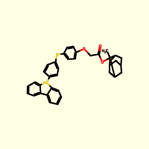 CC1(OC(=O)COc2ccc(Sc3ccc([SH]4c5ccccc5-c5ccccc54)cc3)cc2)C2CC3CC(C2)CC1C3